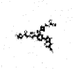 N#Cc1cnn2c(-c3cc(N[C@H]4C[C@H](CNC(=O)O)C4)c(-c4cn(CC(=O)N5CC(F)(F)C5)nn4)cn3)ccc2c1